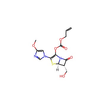 C=CCOC(=O)OC1=C(n2cnc(OC)c2)S[C@@H]2[C@@H](CO)C(=O)N12